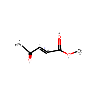 CCCC(=O)/C=C/C(=O)OCC